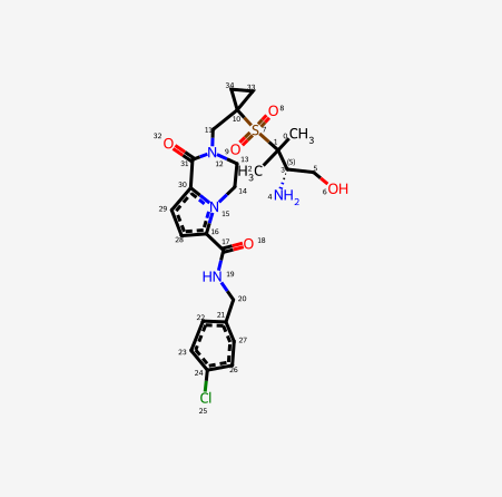 CC(C)([C@@H](N)CO)S(=O)(=O)C1(CN2CCn3c(C(=O)NCc4ccc(Cl)cc4)ccc3C2=O)CC1